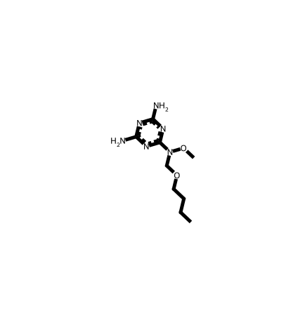 CCCCOCN(OC)c1nc(N)nc(N)n1